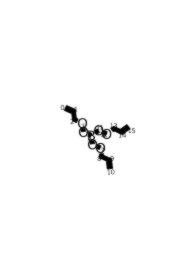 C=CCOOB(OOCC=C)OOCC=C